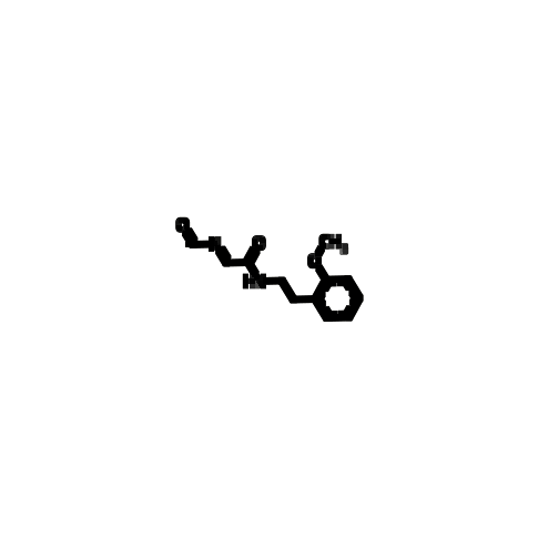 COc1ccccc1CCNC(=O)C=N[C]=O